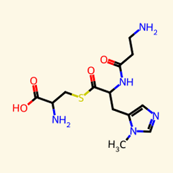 Cn1cncc1CC(NC(=O)CCN)C(=O)SCC(N)C(=O)O